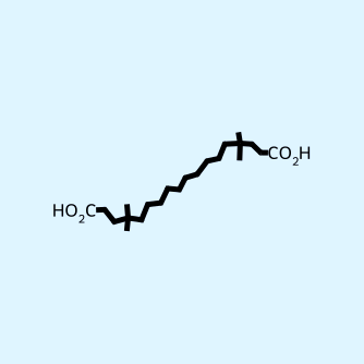 CC(C)(CCCCCCCCCCC(C)(C)CCC(=O)O)CCC(=O)O